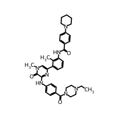 CCN1CCN(C(=O)c2ccc(Nc3nc(-c4cccc(NC(=O)c5ccc(N6CCCCC6)cc5)c4C)cn(C)c3=O)cc2)CC1